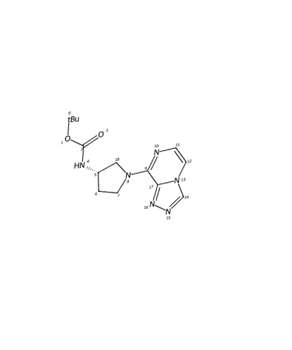 CC(C)(C)OC(=O)N[C@H]1CCN(c2nccn3cnnc23)C1